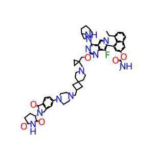 CCc1cccc2cc(OC(=O)NC)cc(-c3ncc4c(N5CC6CCC(C5)N6)nc(OCC5(CN6CCC7(CC6)CC(CN6CCN(c8ccc9c(c8)CN([C@H]8CCC(=O)NC8=O)C9=O)CC6)C7)CC5)nc4c3F)c12